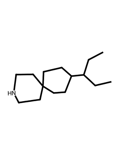 CCC(CC)C1CCC2(CCNCC2)CC1